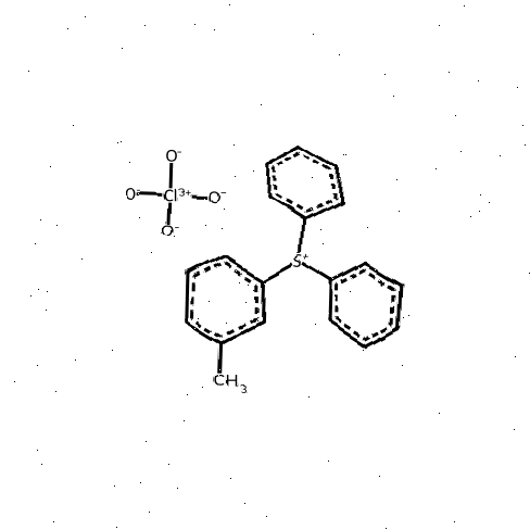 Cc1cccc([S+](c2ccccc2)c2ccccc2)c1.[O-][Cl+3]([O-])([O-])[O-]